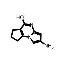 Nc1cc2nc(O)c3c(n2c1)CCC3